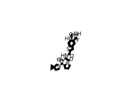 CC(C)(C)[C@H](NC(=O)c1cc2cc(C(F)(F)P(=O)(O)O)ccc2s1)C(=O)N1CCC[C@H]1C(=O)N1CCC2(CC2)C1